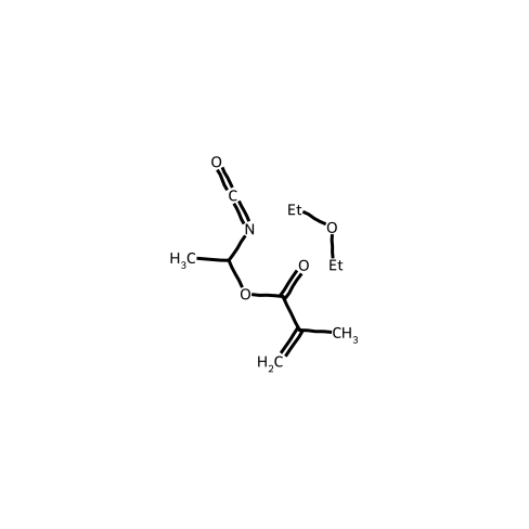 C=C(C)C(=O)OC(C)N=C=O.CCOCC